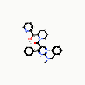 CN(Cc1ccccc1)c1ncc(C(=O)N2CCCCC2C(O)c2ccccn2)c(-c2ccccc2)n1